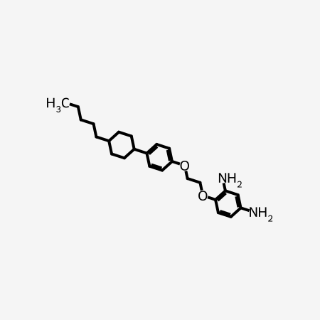 CCCCCC1CCC(c2ccc(OCCOc3ccc(N)cc3N)cc2)CC1